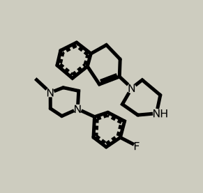 C1=C(N2CCNCC2)CCc2ccccc21.CN1CCN(c2ccc(F)cc2)CC1